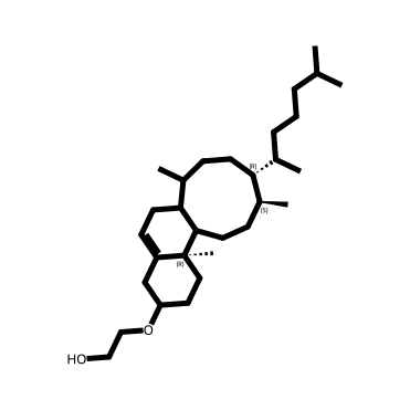 CC(C)CCCC(C)[C@H]1CCC(C)C2CC=C3CC(OCCO)CC[C@]3(C)C2CC[C@@H]1C